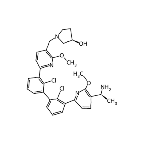 COc1nc(-c2cccc(-c3cccc(-c4ccc([C@H](C)N)c(OC)n4)c3Cl)c2Cl)ccc1CN1CC[C@@H](O)C1